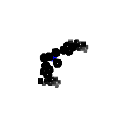 CC(C)(C)c1cc2ccc3cc(-c4ccc5c6cc7cccc(-c8cc9ccc%10cc(C(C)(C)C)cc%11ccc(c8)c9c%10%11)c7cc6n(-c6ccccc6)c5c4)cc4ccc(c1)c2c34